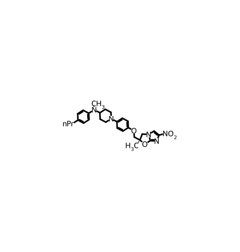 CCCc1ccc(N(C)C2CCN(c3ccc(OC[C@@]4(C)Cn5cc([N+](=O)[O-])nc5O4)cc3)CC2)cc1